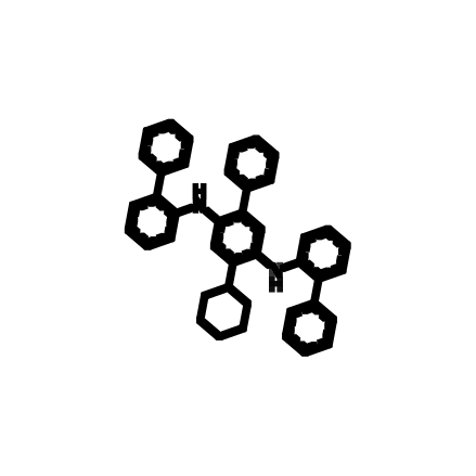 c1ccc(-c2ccccc2Nc2cc(C3CCCCC3)c(Nc3ccccc3-c3ccccc3)cc2-c2ccccc2)cc1